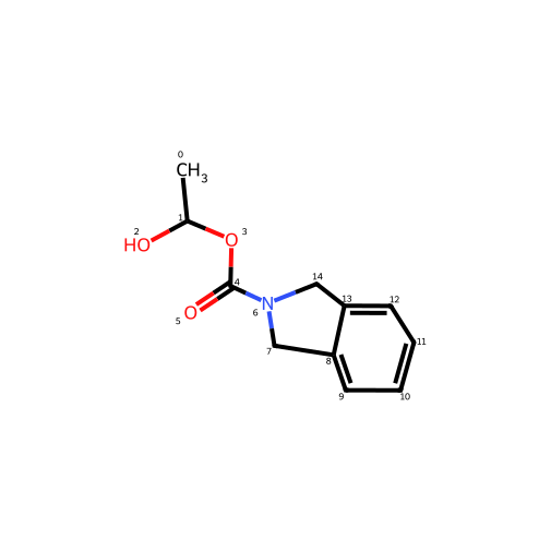 CC(O)OC(=O)N1Cc2ccccc2C1